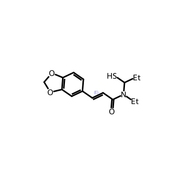 CCC(S)N(CC)C(=O)/C=C/c1ccc2c(c1)OCO2